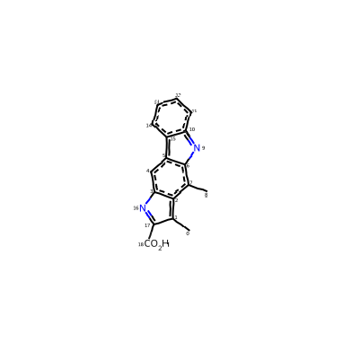 CC1=c2c(cc3c(c2C)N=c2ccccc2=3)N=C1C(=O)O